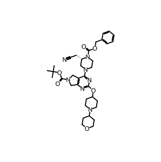 CC(C)(C)OC(=O)N1Cc2nc(OC3CCN(C4CCOCC4)CC3)nc(N3CCN(C(=O)OCc4ccccc4)[C@@H](CC#N)C3)c2C1